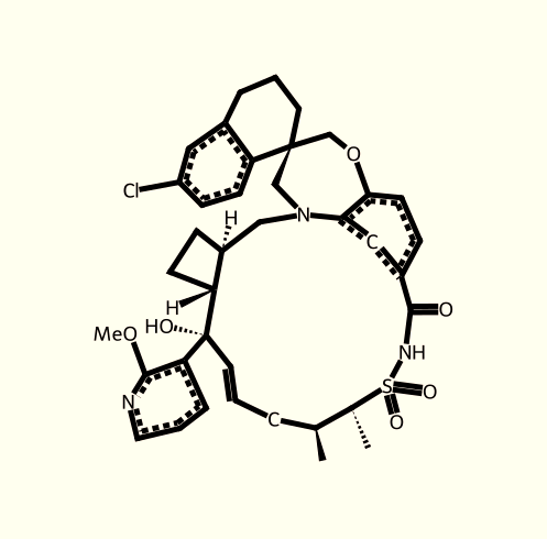 COc1ncccc1[C@]1(O)/C=C/C[C@H](C)[C@@H](C)S(=O)(=O)NC(=O)c2ccc3c(c2)N(C[C@@H]2CC[C@H]21)C[C@@]1(CCCc2cc(Cl)ccc21)CO3